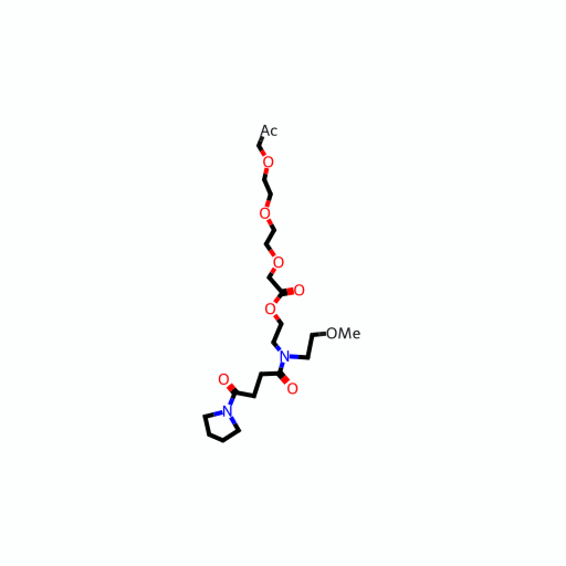 COCCN(CCOC(=O)COCCOCCOCC(C)=O)C(=O)CCC(=O)N1CCCC1